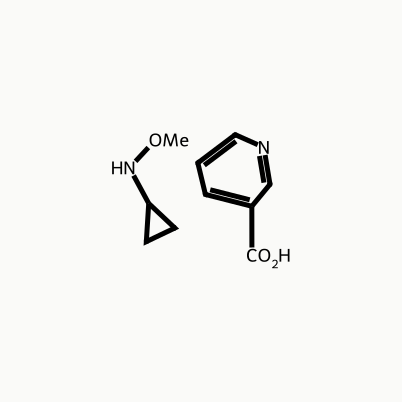 CONC1CC1.O=C(O)c1cccnc1